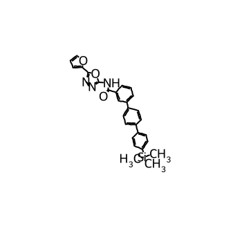 C[Si](C)(C)c1ccc(-c2ccc(-c3cccc(C(=O)Nc4nnc(-c5ccco5)o4)c3)cc2)cc1